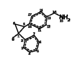 CC1(c2ccccc2)CC1c1ccc(CN)cc1